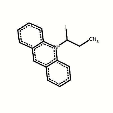 CCC(I)[n+]1c2ccccc2cc2ccccc21